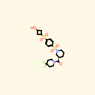 O=C([C@@H]1CCCN(S(=O)(=O)c2ccc(S(=O)(=O)C3CC(O)C3)cc2)C1)N1CCC(F)(F)CC1